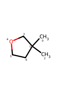 CC1(C)[CH]OCC1